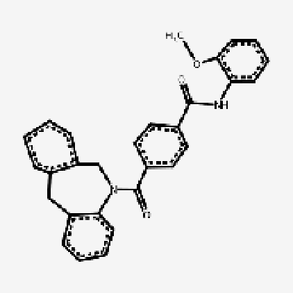 COc1ccccc1NC(=O)c1ccc(C(=O)N2Cc3ccccc3Cc3ccccc32)cc1